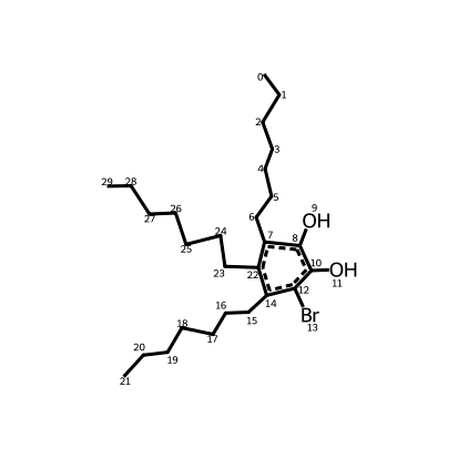 CCCCCCCc1c(O)c(O)c(Br)c(CCCCCCC)c1CCCCCCC